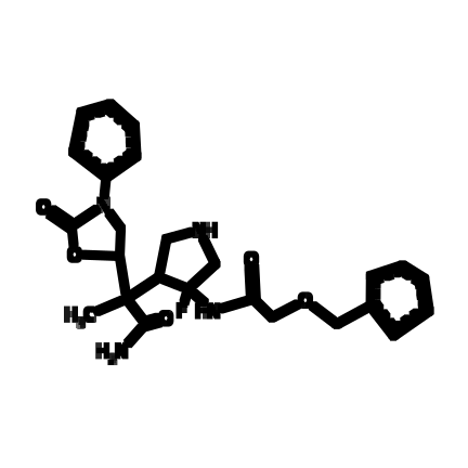 CC(C(N)=O)(C1CN(c2ccccc2)C(=O)O1)C1CNCC1(F)NC(=O)COCc1ccccc1